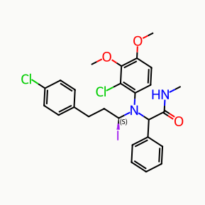 CNC(=O)C(c1ccccc1)N(c1ccc(OC)c(OC)c1Cl)[C@@H](I)CCc1ccc(Cl)cc1